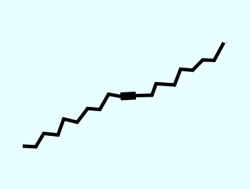 [CH2]CCCCCCCC#CCCCCCCCCC